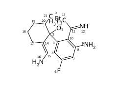 CCOC1(c2cc(F)cc(N)c2C(=N)C(F)(F)F)/C(=C/N)CCCC1C